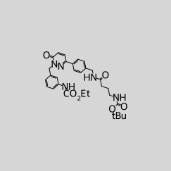 CCOC(=O)Nc1cccc(Cn2nc(-c3ccc(CNC(=O)CCCNC(=O)OC(C)(C)C)cc3)ccc2=O)c1